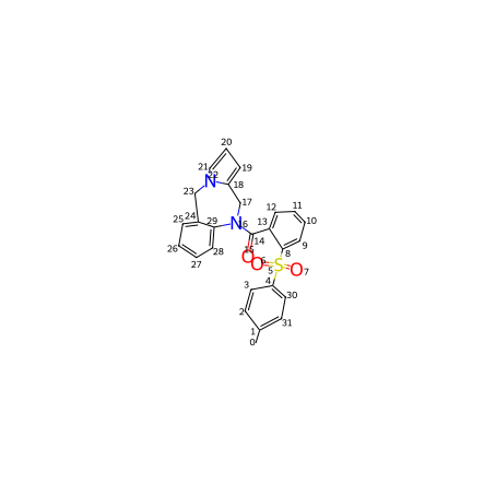 Cc1ccc(S(=O)(=O)c2ccccc2C(=O)N2Cc3cccn3Cc3ccccc32)cc1